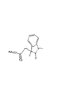 COC(=O)CC1(C)C(=O)N(C)c2ccccc21